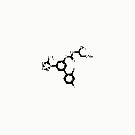 COCC(C)NC(=O)Oc1cc(-c2ccc(F)cc2F)cc(-n2nnnc2C)c1